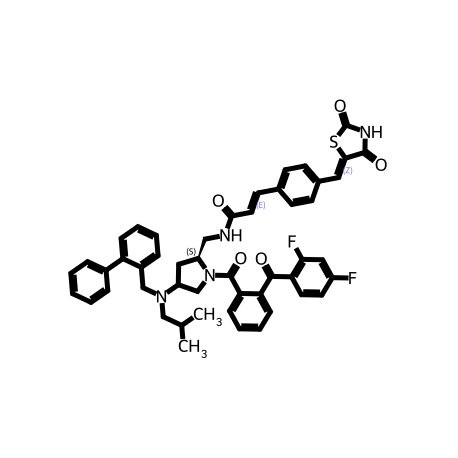 CC(C)CN(Cc1ccccc1-c1ccccc1)C1C[C@@H](CNC(=O)/C=C/c2ccc(/C=C3\SC(=O)NC3=O)cc2)N(C(=O)c2ccccc2C(=O)c2ccc(F)cc2F)C1